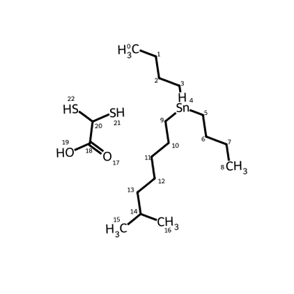 CCC[CH2][SnH]([CH2]CCC)[CH2]CCCCC(C)C.O=C(O)C(S)S